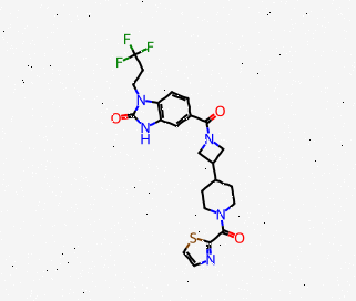 O=C(c1ccc2c(c1)[nH]c(=O)n2CCC(F)(F)F)N1CC(C2CCN(C(=O)c3nccs3)CC2)C1